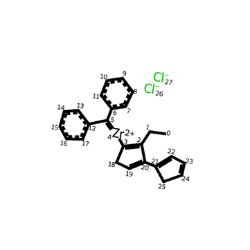 CCC1=[C]([Zr+2]=[C](c2ccccc2)c2ccccc2)CC=C1C1=CC=CC1.[Cl-].[Cl-]